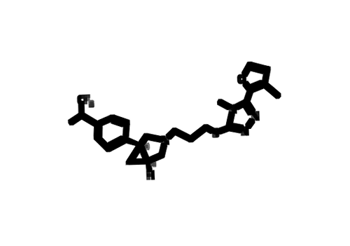 Cc1ccoc1-c1nnc(SCCCN2C[C@@H]3C[C@]3(c3ccc(C(C)C(F)(F)F)cc3)C2)n1C